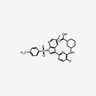 Cc1ccc(S(=O)(=O)n2cc(-c3ncc(F)c(NC4CCCN(C(=O)O)C4)n3)c3cc(F)cnc32)cc1